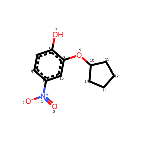 O=[N+]([O-])c1ccc(O)c(OC2CCCC2)c1